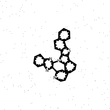 c1ccc(-c2nc3ccccc3nc2-n2c3ccccc3c3sc4c5ccccc5ccc4c32)nc1